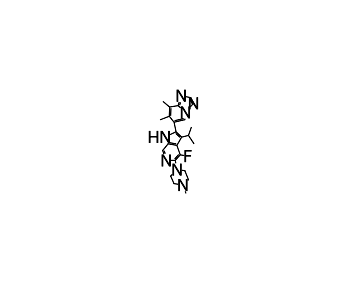 Cc1c(-c2[nH]c3cnc(N4CCN(C)CC4)c(F)c3c2C(C)C)cn2ncnc2c1C